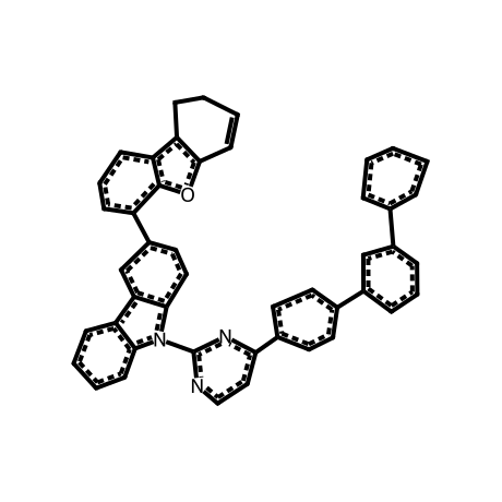 C1=Cc2oc3c(-c4ccc5c(c4)c4ccccc4n5-c4nccc(-c5ccc(-c6cccc(-c7ccccc7)c6)cc5)n4)cccc3c2CC1